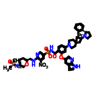 CC(C)c1ccccc1[C@@H]1CCCN1C1CC2(CCN(c3ccc(C(=O)NS(=O)(=O)c4cnc(NC[C@@H]5CC[C@@H](N=S(C)(C)=O)CO5)c([N+](=O)[O-])c4)c(Oc4cnc5[nH]ccc5c4)c3)CC2)C1